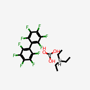 CC[SiH](CC)CC.Fc1c(F)c(F)c(-c2c(F)c(F)c(F)c(F)c2F)c(F)c1F.OB(O)O